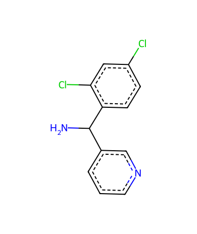 NC(c1cccnc1)c1ccc(Cl)cc1Cl